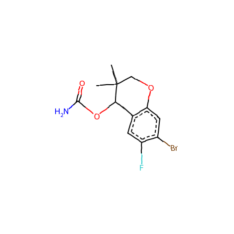 CC1(C)COc2cc(Br)c(F)cc2C1OC(N)=O